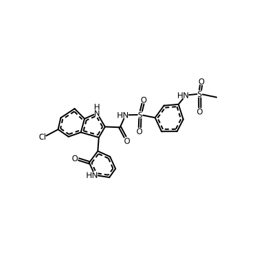 CS(=O)(=O)Nc1cccc(S(=O)(=O)NC(=O)c2[nH]c3ccc(Cl)cc3c2-c2ccc[nH]c2=O)c1